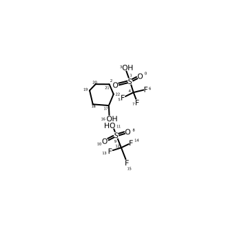 O=S(=O)(O)C(F)(F)F.O=S(=O)(O)C(F)(F)F.OC1CCCCC1